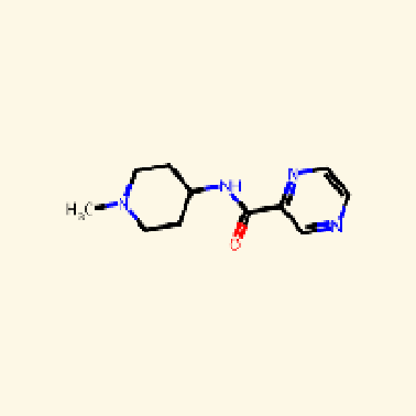 CN1CCC(NC(=O)c2cnccn2)CC1